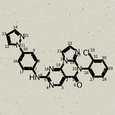 O=c1c2cnc(Nc3ccc(-n4cccn4)cc3)nc2n2ccnc2n1-c1ccccc1Cl